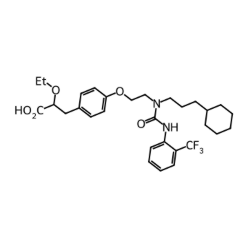 CCOC(Cc1ccc(OCCN(CCCC2CCCCC2)C(=O)Nc2ccccc2C(F)(F)F)cc1)C(=O)O